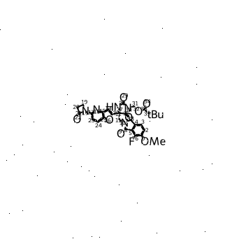 COc1ccc2c(c1F)C(=O)N(C[C@@]1(c3cc4nc(N5CCC5=O)ccc4o3)NC(=O)N(COC(=O)C(C)(C)C)C1=O)C2